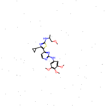 COCC(C)Nc1nc(C2CC2)c(-c2ccnc(Nc3cc(OC)c(OC)c(OC)c3)n2)s1